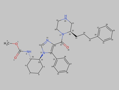 COC(=O)N[C@H]1CCCC[C@@H]1n1cnc(C(=O)N2CCNC[C@H]2CCCc2ccccc2)c1-c1ccccc1